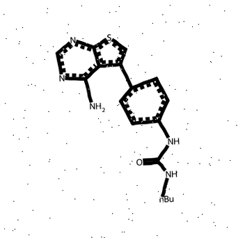 CCCCNC(=O)Nc1ccc(-c2csc3ncnc(N)c23)cc1